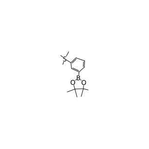 CC1(C)OB(c2cccc(S(C)(C)C)c2)OC1(C)C